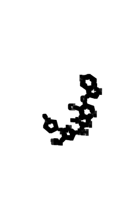 CN1CC[C@@H](n2nc(Nc3nc4ncc(Oc5cnn6ccncc56)c(Cl)c4n3C)cc2C(C)(C)C)C1